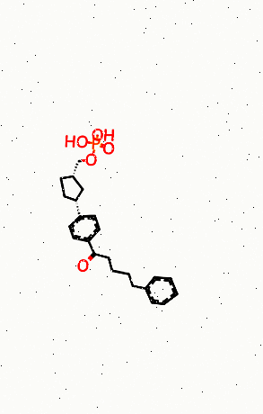 O=C(CCCCc1ccccc1)c1ccc([C@@H]2CC[C@H](COP(=O)(O)O)C2)cc1